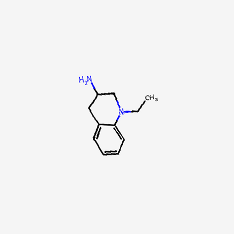 CCN1CC(N)Cc2ccccc21